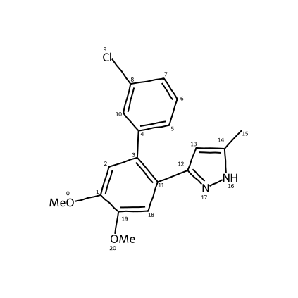 COc1cc(-c2cccc(Cl)c2)c(-c2cc(C)[nH]n2)cc1OC